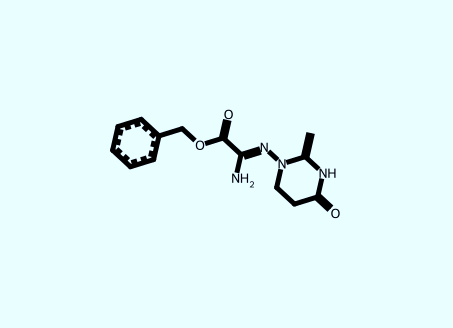 C=C1NC(=O)CCN1/N=C(\N)C(=O)OCc1ccccc1